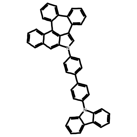 c1ccc2c(c1)-c1ccccc1-c1c3ccccc3cc3c1c-2cn3-c1ccc(-c2ccc(-n3c4ccccc4c4ccccc43)cc2)cc1